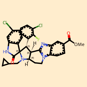 COC(=O)c1ccc2c(c1)nc1n2CC[C@@H]2[C@H]1[C@@H](c1cccc(Cl)c1F)[C@@]1(C(=O)Nc3cc(Cl)ccc31)N2CC1CC1